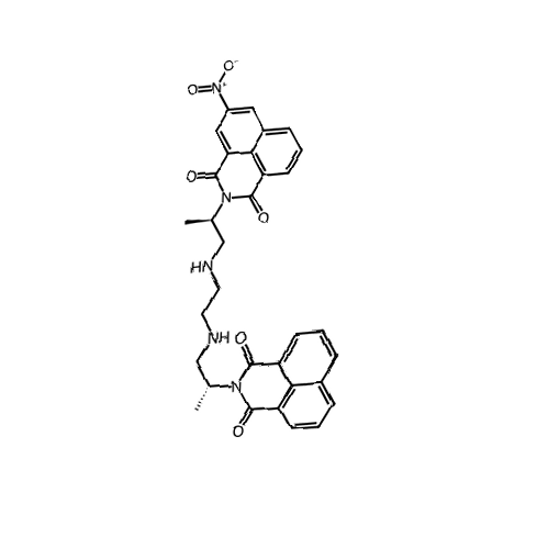 C[C@H](CNCCNC[C@@H](C)N1C(=O)c2cccc3cc([N+](=O)[O-])cc(c23)C1=O)N1C(=O)c2cccc3cccc(c23)C1=O